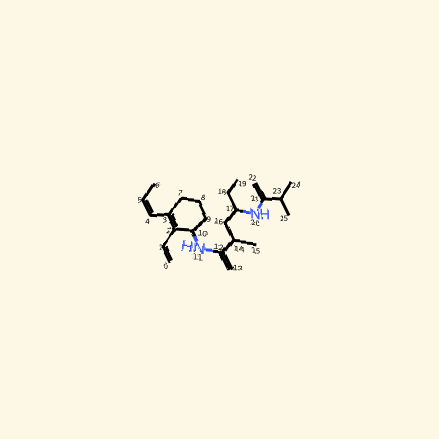 C=CC1=C(/C=C\C)CCCC1NC(=C)C(C)CC(CC)NC(=C)C(C)C